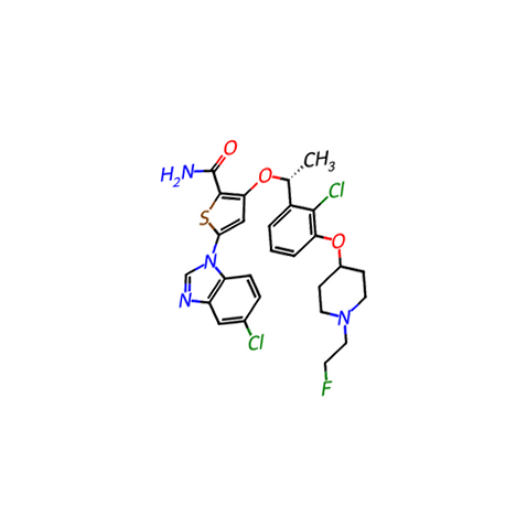 C[C@@H](Oc1cc(-n2cnc3cc(Cl)ccc32)sc1C(N)=O)c1cccc(OC2CCN(CCF)CC2)c1Cl